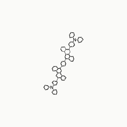 C1=CC2=C(c3ccc(N(c4ccccc4)c4ccccc4)cc3)Cc3c(cc(-c4ccc(-c5cc6c7ccccc7c(-c7ccc(N(c8ccccc8)c8ccccc8)cc7)cc6c6ccccc56)cc4)c4ccccc34)C2C=C1